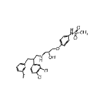 CS(=O)(=O)Nc1ccc(OC[C@@H](O)CNCC(Cc2cccc(F)c2)c2ccc(Cl)c(Cl)c2)cc1